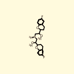 [2H]OC(CN([2H])CC(O[2H])C1CCc2cc(F)ccc2O1)C1CCc2cc(F)ccc2O1